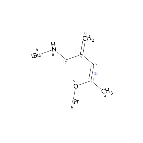 C=C(/C=C(/C)OC(C)C)CNC(C)(C)C